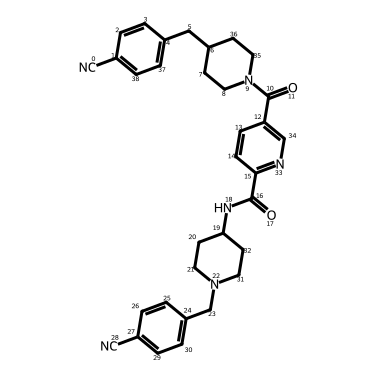 N#Cc1ccc(CC2CCN(C(=O)c3ccc(C(=O)NC4CCN(Cc5ccc(C#N)cc5)CC4)nc3)CC2)cc1